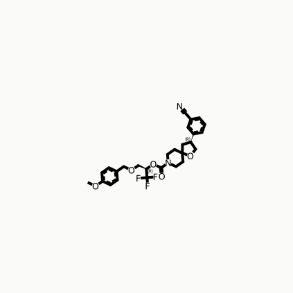 COc1ccc(COC[C@@H](OC(=O)N2CCC3(CC2)C[C@H](c2cccc(C#N)c2)CO3)C(F)(F)F)cc1